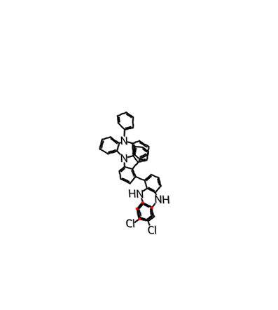 Clc1ccc(Nc2cccc(-c3cccc4c3c3ccccc3n4-c3ccccc3N(c3ccccc3)c3ccccc3)c2Nc2ccc(Cl)cc2)cc1